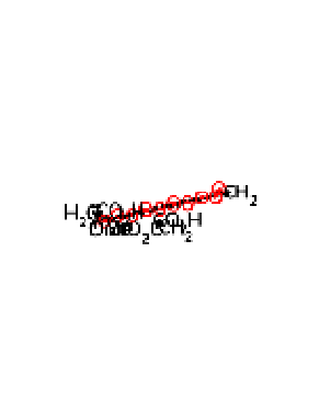 C=C(C(=O)O)C(=O)OCC.C=CC(=O)OCCOCCOCCOCCOCCOCCOCCOCCOC(COC)C(=C)C(=O)O